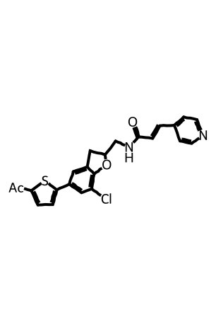 CC(=O)c1ccc(-c2cc(Cl)c3c(c2)CC(CNC(=O)C=Cc2ccncc2)O3)s1